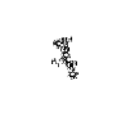 CN(c1ccc(Oc2nc(O)c3ccncc3n2)cc1)C1CCN(Cc2ccccc2)C(=O)C1